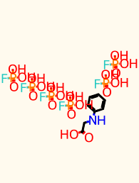 O=C(O)CNc1ccccc1.O=P(O)(O)F.O=P(O)(O)F.O=P(O)(O)F.O=P(O)(O)F.O=P(O)(O)F.O=P(O)(O)F